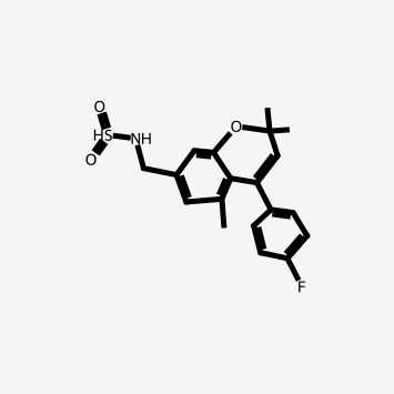 Cc1cc(CN[SH](=O)=O)cc2c1C(c1ccc(F)cc1)=CC(C)(C)O2